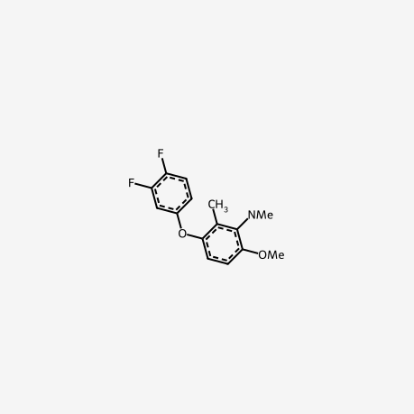 CNc1c(OC)ccc(Oc2ccc(F)c(F)c2)c1C